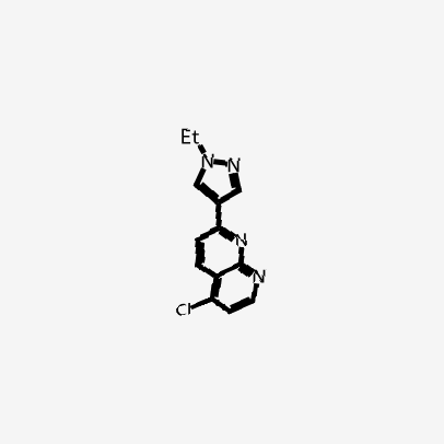 CCn1cc(-c2ccc3c(Cl)ccnc3n2)cn1